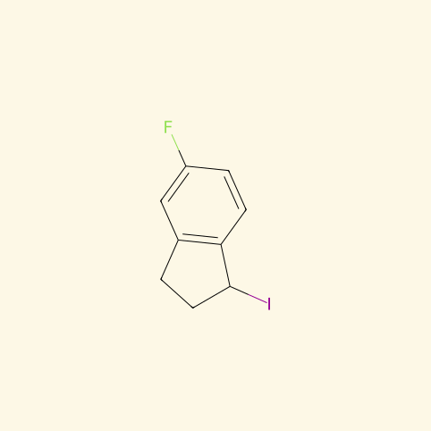 Fc1ccc2c(c1)CCC2I